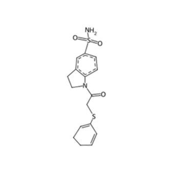 NS(=O)(=O)c1ccc2c(c1)CCN2C(=O)CSC1=CCCC=C1